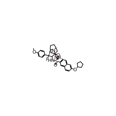 COc1ccc(C(F)(F)C(NS(=O)(=O)c2ccc3cc(OC4CCCC4)ccc3c2)C(=O)N2C3CCC2CC(N)C3)cc1